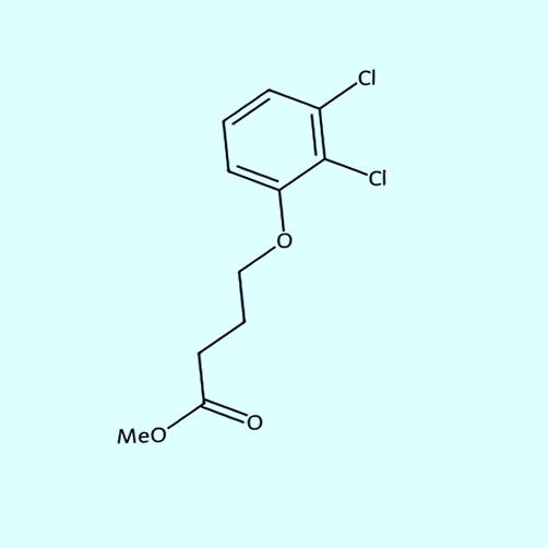 COC(=O)CCCOc1cccc(Cl)c1Cl